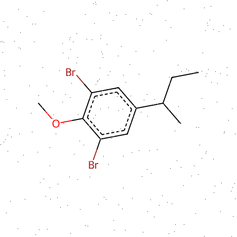 CCC(C)c1cc(Br)c(OC)c(Br)c1